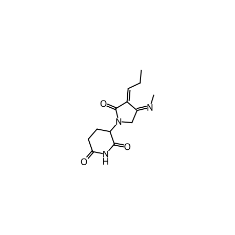 CC/C=C1/C(=O)N(C2CCC(=O)NC2=O)C/C1=N/C